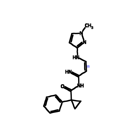 Cn1ccc(N/C=C\C(=N)NC(=O)C2(c3ccccc3)CC2)n1